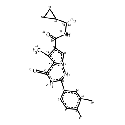 Cc1ccc(-c2nn3cc(C(=O)N[C@@H](C)C4CC4)c(C(F)(F)F)c3c(=O)[nH]2)cc1C